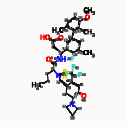 CCCC(C(=O)N[C@@H](CC(=O)O)c1cc(-c2c(C)ccc(OC)c2C)cc(C)c1F)N(S)/C=C(CCN1CCC1)\C(=C/C=O)C(F)(F)F